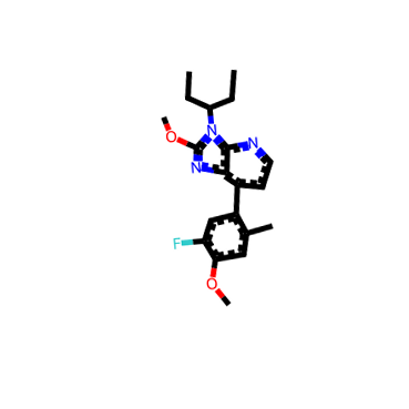 CCC(CC)n1c(OC)nc2c(-c3cc(F)c(OC)cc3C)ccnc21